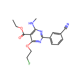 CCOC(=O)c1c(NC)nc(-c2cccc(C#N)c2)nc1OCCF